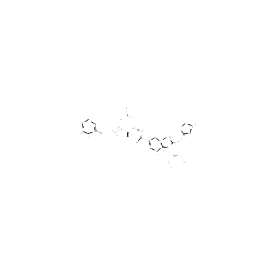 CCC(CC)n1c(Cc2cccs2)nc2cc(C(=O)N[C@@H](CC(C)C)C(=O)NCCOc3ccccc3)ccc21